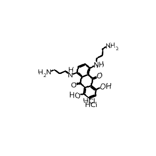 Cl.Cl.NCCCNc1ccc(NCCCN)c2c1C(=O)c1c(O)ccc(O)c1C2=O